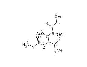 COC(C)C(NC(=O)CN)C(OC(C)=O)C(OC(C)=O)C(C)COC(C)=O